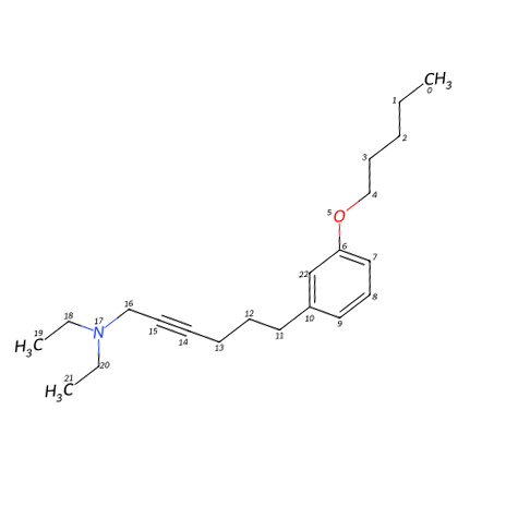 CCCCCOc1cccc(CCCC#CCN(CC)CC)c1